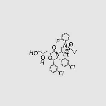 CC[C@H](CN(c1ccccc1F)S(=O)(=O)C1CC1)N1C(=O)[C@@H](C[C@H](O)CO)O[C@H](c2cccc(Cl)c2)[C@H]1c1ccc(Cl)cc1